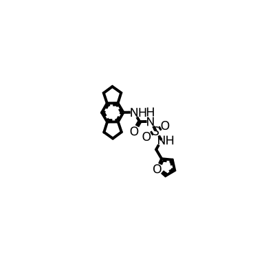 O=C(Nc1c2c(cc3c1CCC3)CCC2)NS(=O)(=O)NCc1ccco1